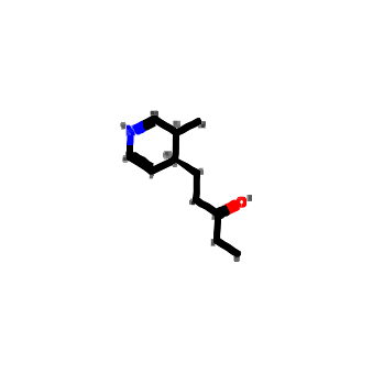 CCC(=O)CC[C@H]1C=CN=CC1C